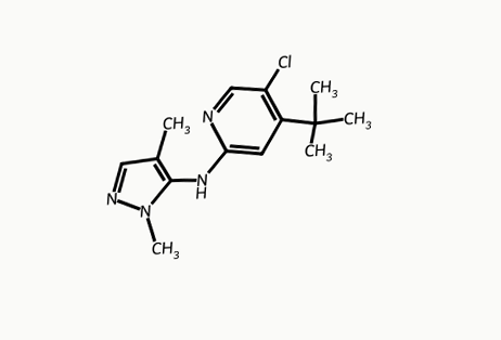 Cc1cnn(C)c1Nc1cc(C(C)(C)C)c(Cl)cn1